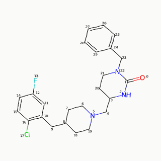 O=C1NC(CN2CCC(Cc3cc(F)ccc3Cl)CC2)CCN1Cc1ccccc1